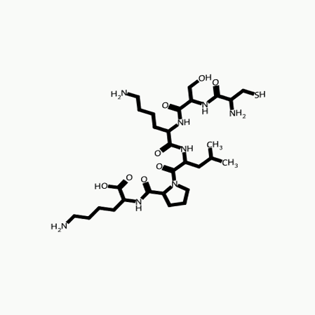 CC(C)CC(NC(=O)C(CCCCN)NC(=O)C(CO)NC(=O)C(N)CS)C(=O)N1CCCC1C(=O)NC(CCCCN)C(=O)O